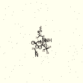 CSSC(CN=N)C[C@H](NC(=O)OC(C)(C)C)C(=O)OCC#N